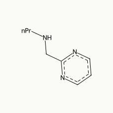 CCCNCc1ncccn1